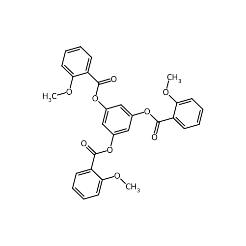 COc1ccccc1C(=O)Oc1cc(OC(=O)c2ccccc2OC)cc(OC(=O)c2ccccc2OC)c1